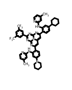 Cc1ccnc(Nc2cc(N3CCCCC3)ccc2C2=CC3=CC(c4ccc(C5CCCCC5)cc4Nc4cc(C)ccn4)=NC4=NC(c5cc(C(F)(F)F)cc(C(F)(F)F)c5)=NC(=N2)N34)c1